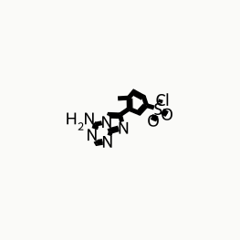 Cc1ccc(S(=O)(=O)Cl)cc1-c1cn2c(N)ncnc2n1